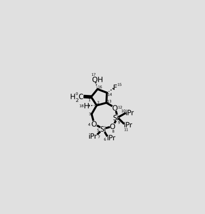 C=C1[C@@H]2CO[Si](C(C)C)(C(C)C)O[Si](C(C)C)(C(C)C)OC2[C@@H](F)[C@H]1O